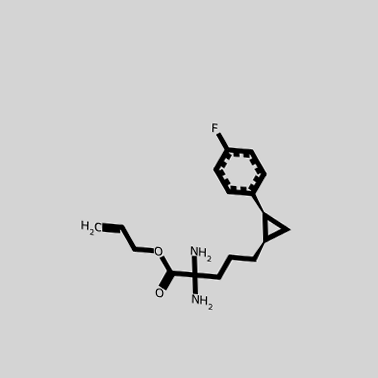 C=CCOC(=O)C(N)(N)CCC[C@@H]1C[C@@H]1c1ccc(F)cc1